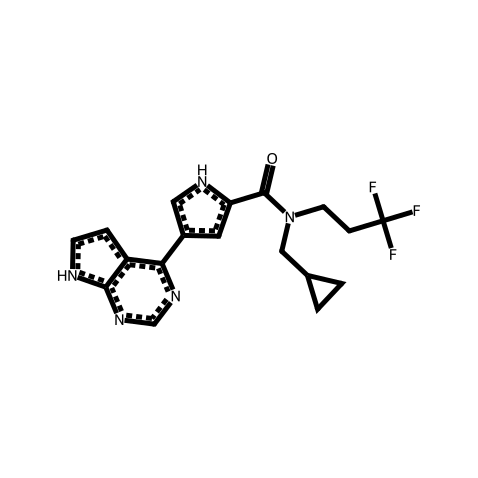 O=C(c1cc(-c2ncnc3[nH]ccc23)c[nH]1)N(CCC(F)(F)F)CC1CC1